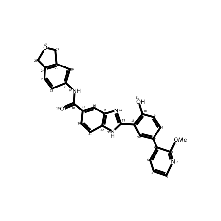 COc1ncccc1-c1ccc(O)c(-c2nc3cc(C(=O)Nc4ccc5c(c4)COC5)ccc3[nH]2)c1